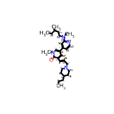 CCCC1CCN(Cc2cc3c(=O)n(C)cc(-c4ccnc(N(C)CCC(C)CC)c4)c3s2)CC1